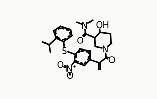 C=C(C(=O)N1CCC(O)C(C(=O)N(C)C)C1)c1ccc(Sc2ccccc2C(C)C)c([N+](=O)[O-])c1